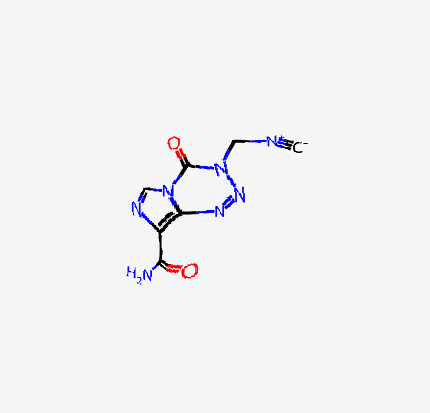 [C-]#[N+]Cn1nnc2c(C(N)=O)ncn2c1=O